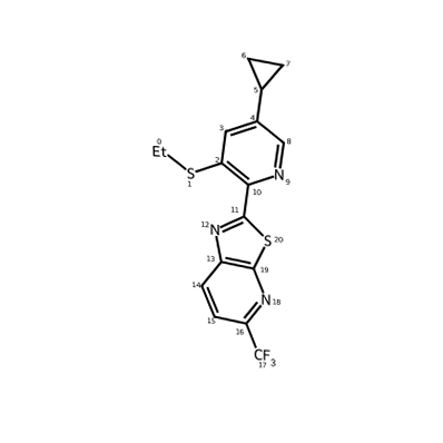 CCSc1cc(C2CC2)cnc1-c1nc2ccc(C(F)(F)F)nc2s1